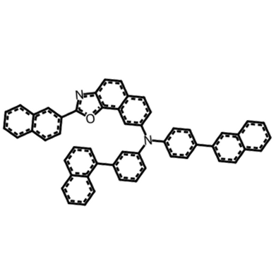 c1cc(-c2cccc3ccccc23)cc(N(c2ccc(-c3ccc4ccccc4c3)cc2)c2ccc3ccc4nc(-c5ccc6ccccc6c5)oc4c3c2)c1